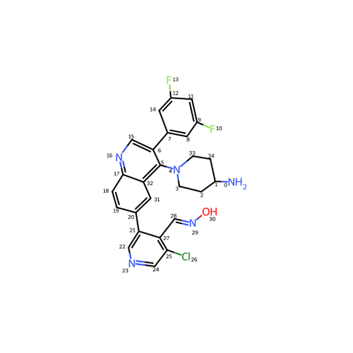 NC1CCN(c2c(-c3cc(F)cc(F)c3)cnc3ccc(-c4cncc(Cl)c4C=NO)cc23)CC1